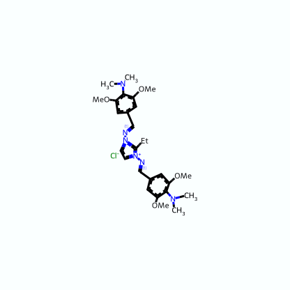 CCc1n(/N=C/c2cc(OC)c(N(C)C)c(OC)c2)cc[n+]1/N=C/c1cc(OC)c(N(C)C)c(OC)c1.[Cl-]